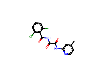 Cc1ccnc(NC(=O)C(=O)NC(=O)c2c(F)cccc2Cl)c1